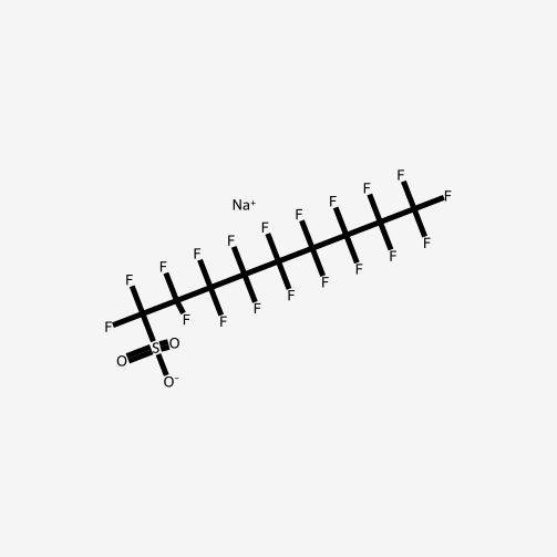 O=S(=O)([O-])C(F)(F)C(F)(F)C(F)(F)C(F)(F)C(F)(F)C(F)(F)C(F)(F)C(F)(F)C(F)(F)F.[Na+]